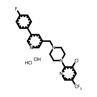 Cl.Cl.Fc1ccc(-c2cncc(CN3CCN(c4ncc(C(F)(F)F)cc4Cl)CC3)c2)cc1